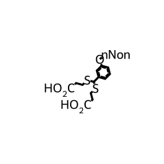 CCCCCCCCCOc1cccc(C(SCCC(=O)O)SCCC(=O)O)c1